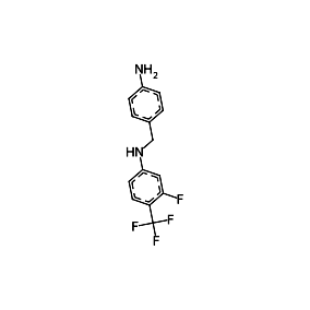 Nc1ccc(CNc2ccc(C(F)(F)F)c(F)c2)cc1